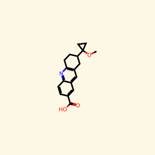 COC1(C2CCc3nc4ccc(C(=O)O)cc4cc3C2)CC1